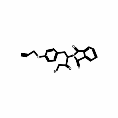 C#CCOc1ccc(CC(C(=O)CBr)N2C(=O)c3ccccc3C2=O)cc1